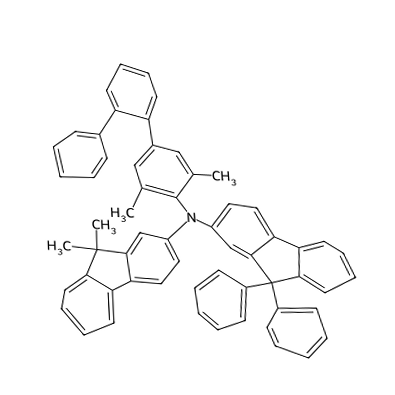 Cc1cc(-c2ccccc2-c2ccccc2)cc(C)c1N(c1ccc2c(c1)C(C)(C)c1ccccc1-2)c1ccc2c(c1)C(c1ccccc1)(c1ccccc1)c1ccccc1-2